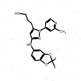 Cc1cc(-n2nc(Nc3ccc4c(c3)OC(F)(F)O4)cc2CCCO)ccn1